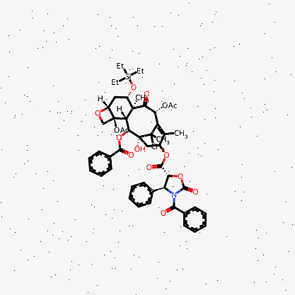 CC[Si](CC)(CC)O[C@H]1C[C@H]2OC[C@@]2(OC(C)=O)[C@H]2[C@H](OC(=O)c3ccccc3)[C@]3(O)CC(OC(=O)[C@@H]4OC(=O)N(C(=O)c5ccccc5)[C@H]4c4ccccc4)C(C)=C([C@@H](OC(C)=O)C(=O)[C@]12C)C3(C)C